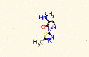 CNc1ccnn(-c2nnc(C)s2)c1=O